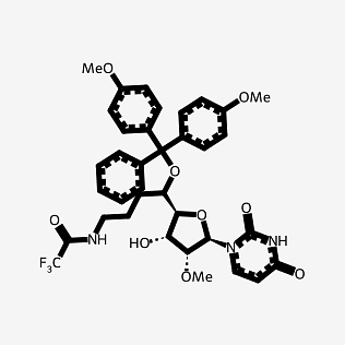 COc1ccc(C(OC(CCCNC(=O)C(F)(F)F)[C@H]2O[C@@H](n3ccc(=O)[nH]c3=O)[C@H](OC)[C@@H]2O)(c2ccccc2)c2ccc(OC)cc2)cc1